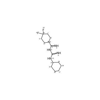 N=C(NC(=N)N1CCC(F)(F)CC1)NC1CCCCC1